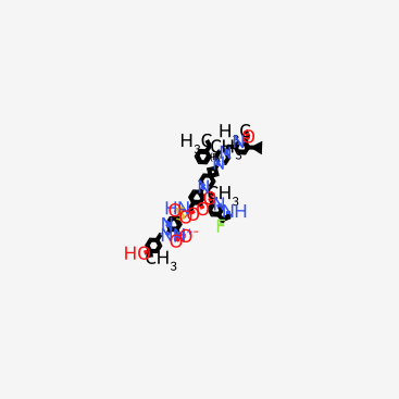 COc1nc2[nH]cc(F)c2cc1Oc1cc(N2CCC3(CC2)CC(N2CCN(Cc4ccc(C5CC5)c(OC)n4)C[C@H]2c2ccccc2C(C)C)C3)ccc1C(=O)NS(=O)(=O)c1cnc(NCC2CCC(C)(O)CC2)c([N+](=O)[O-])c1